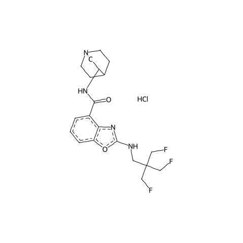 Cl.O=C(NC1CN2CCC1CC2)c1cccc2oc(NCC(CF)(CF)CF)nc12